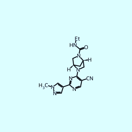 CCNC(=O)N1C[C@@H]2C[C@H]1CN2c1nc(-c2cnn(C)c2)ncc1C#N